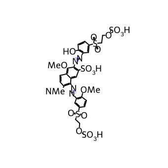 CNc1ccc2c(OC)c(/N=N/c3cc(S(=O)(=O)CCOS(=O)(=O)O)ccc3O)c(S(=O)(=O)O)cc2c1/N=N/c1cc(S(=O)(=O)CCOS(=O)(=O)O)ccc1OC